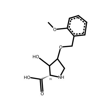 COc1ccccc1COC1CN[C@H](C(=O)O)C1O